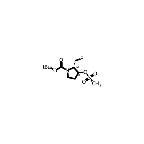 CC(C)(C)OC(=O)N1CC[C@H](OS(C)(=O)=O)[C@H]1CF